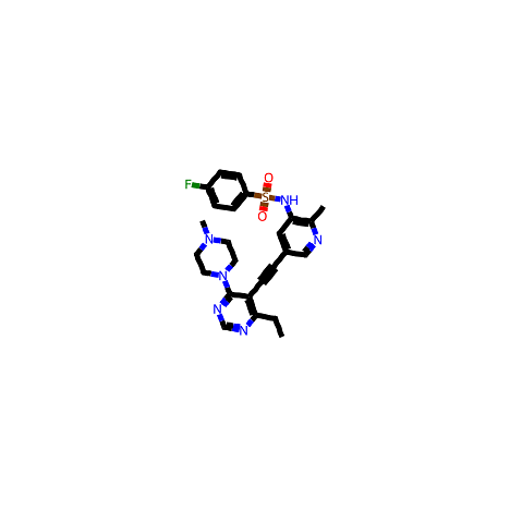 CCc1ncnc(N2CCN(C)CC2)c1C#Cc1cnc(C)c(NS(=O)(=O)c2ccc(F)cc2)c1